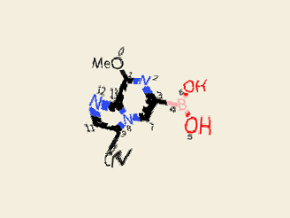 COc1nc(B(O)O)cn2c(C#N)cnc12